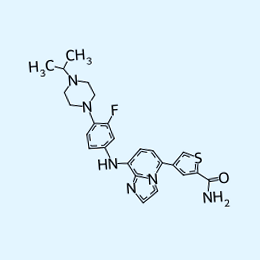 CC(C)N1CCN(c2ccc(Nc3ccc(-c4csc(C(N)=O)c4)n4ccnc34)cc2F)CC1